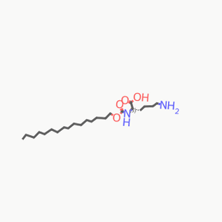 CCCCCCCCCCCCCCCCOC(=O)N[C@@H](CCCCN)C(=O)O